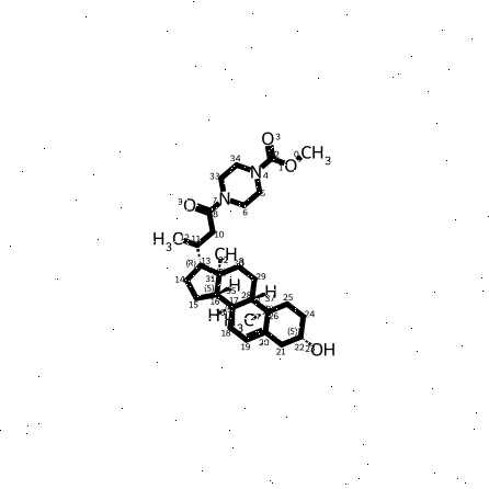 COC(=O)N1CCN(C(=O)CC(C)[C@H]2CC[C@H]3[C@@H]4CC=C5C[C@@H](O)CC[C@]5(C)[C@H]4CC[C@]23C)CC1